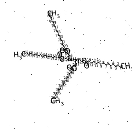 CCCCCCCCCCCCCCCC(=O)OCCN(CCOC(=O)CCCCCCCCCCCCCCC)CCN(CCOC(=O)CCCCCCCCCCCCCCC)CCOC(=O)CCCCCCCCCCCCCCC